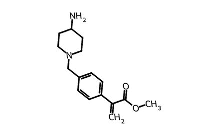 C=C(C(=O)OC)c1ccc(CN2CCC(N)CC2)cc1